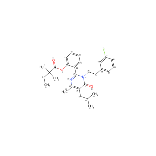 CCC(C)(C)C(=O)Oc1ccccc1-c1nc(C)c(CC(C)C)c(=O)n1CCc1cccc(F)c1